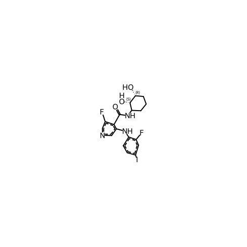 O=C(NC1CCC[C@@H](O)[C@H]1O)c1c(F)cncc1Nc1ccc(I)cc1F